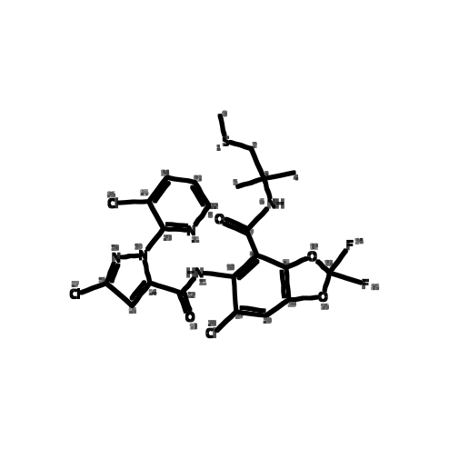 CSCC(C)(C)NC(=O)c1c(NC(=O)c2cc(Cl)nn2-c2ncccc2Cl)c(Cl)cc2c1OC(F)(F)O2